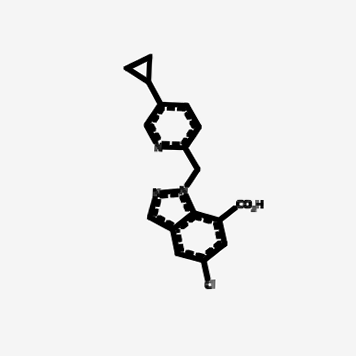 O=C(O)c1cc(Cl)cc2cnn(Cc3ccc(C4CC4)cn3)c12